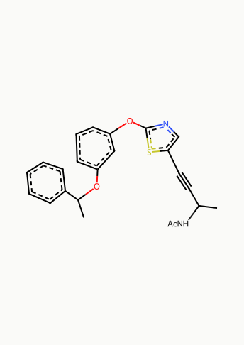 CC(=O)NC(C)C#Cc1cnc(Oc2cccc(OC(C)c3ccccc3)c2)s1